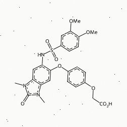 COc1ccc(S(=O)(=O)Nc2cc3c(cc2Oc2ccc(OCC(=O)O)cc2)n(C)c(=O)n3C)cc1OC